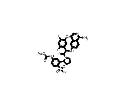 COC(=O)Nc1ccc(S(=O)(=O)C(C)C)c(C2CCCN2C(=O)C(Nc2ccc3c(N)nccc3c2)c2cc(OC)c(F)cc2F)c1